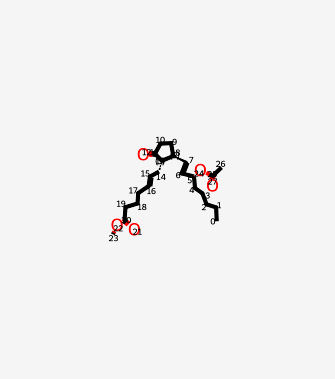 CCCCCC(C=C[C@@H]1CCC(=O)[C@H]1CC=CCCCC(=O)OC)OC(C)=O